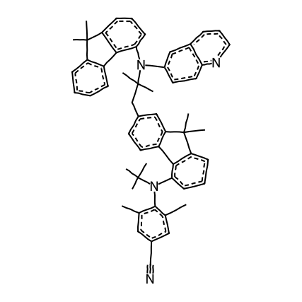 Cc1cc(C#N)cc(C)c1N(c1cccc2c1-c1ccc(CC(C)(C)N(c3ccc4ncccc4c3)c3cccc4c3-c3ccccc3C4(C)C)cc1C2(C)C)C(C)(C)C